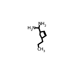 CCCC1C=CC(C(N)N)C1